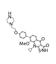 COc1c(-c2ccc(OCCN3CCNCC3)cc2)ccc2c(=O)c3c(=O)[nH]sc3n(C3CC3)c12